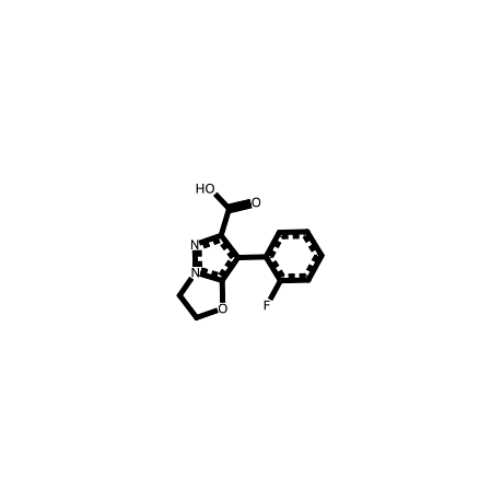 O=C(O)c1nn2c(c1-c1ccccc1F)OCC2